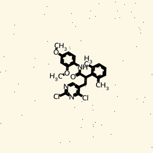 COc1ccc(NC(=O)C(Cc2cnc(Cl)nc2Cl)c2c(C)cccc2C)c(OC)c1